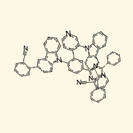 N#Cc1ccccc1-c1ccc2c(c1)c1ccccc1n2-c1ccc(-c2nc(-c3ccccc3)nc(-c3ccccc3)n2)cc1-c1ccncc1-n1c2ccccc2c2cc(-c3ccccc3C#N)ccc21